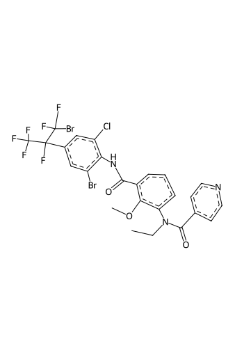 CCN(C(=O)c1ccncc1)c1cccc(C(=O)Nc2c(Cl)cc(C(F)(C(F)(F)F)C(F)(F)Br)cc2Br)c1OC